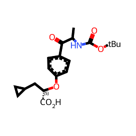 CC(NC(=O)OC(C)(C)C)C(=O)c1ccc(O[C@@H](CC2CC2)C(=O)O)cc1